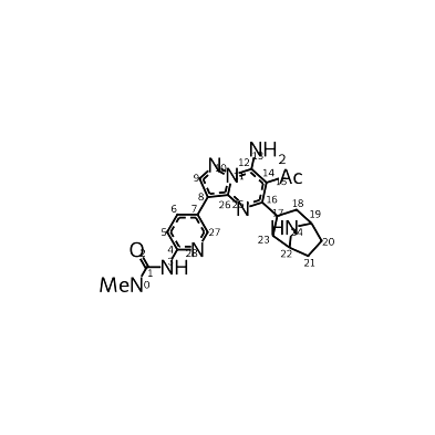 CNC(=O)Nc1ccc(-c2cnn3c(N)c(C(C)=O)c(C4CC5CCC(C4)N5)nc23)cn1